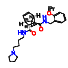 CC(C)Oc1ccccc1CNC(=O)[C@H]1[C@H](C(=O)NCCCCN2CCCC2)[C@H]2C=C[C@@H]1C21CC1